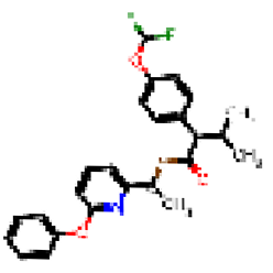 CC(C)C(C(=O)S[C@@H](C)c1cccc(Oc2ccccc2)n1)c1ccc(OC(F)F)cc1